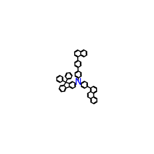 c1ccc(C2(c3ccccc3)c3ccccc3-c3ccc(N(c4ccc(-c5ccc(-c6cccc7ccccc67)cc5)cc4)c4ccc(-c5cccc6c5ccc5ccccc56)cc4)cc32)cc1